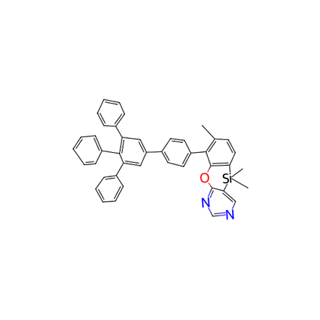 Cc1ccc2c(c1-c1ccc(-c3cc(-c4ccccc4)c(-c4ccccc4)c(-c4ccccc4)c3)cc1)Oc1ncncc1[Si]2(C)C